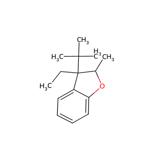 CCC1(C(C)(C)C)c2ccccc2OC1C